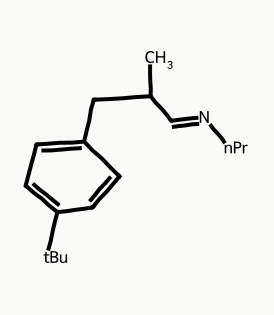 CCC/N=C/C(C)Cc1ccc(C(C)(C)C)cc1